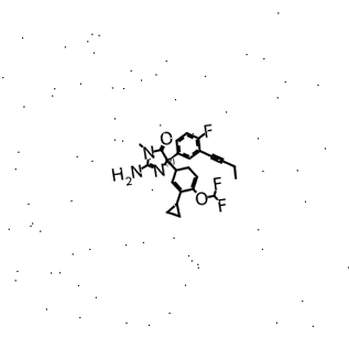 CCC#Cc1cc([C@@]2(C3C=C(C4CC4)C(OC(F)F)=CC3)N=C(N)N(C)C2=O)ccc1F